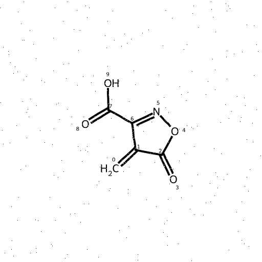 C=C1C(=O)ON=C1C(=O)O